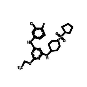 O=S(=O)(C1CCCC1)N1CCC(Nc2nc(Nc3ccc(F)c(Cl)c3)nc(OCC(F)(F)F)n2)CC1